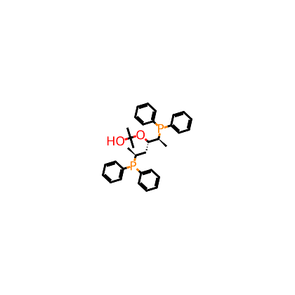 C[C@@H](C[C@H](OC(C)(C)O)[C@H](C)P(c1ccccc1)c1ccccc1)P(c1ccccc1)c1ccccc1